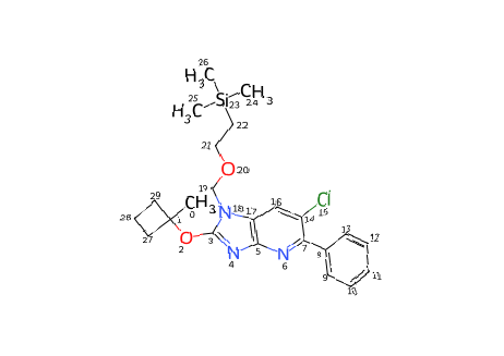 CC1(Oc2nc3nc(-c4ccccc4)c(Cl)cc3n2COCC[Si](C)(C)C)CCC1